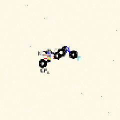 C[C@]12Cc3cnn(-c4ccc(F)cc4)c3C=C1CC[C@@H]2CN(CC#N)S(=O)(=O)Cc1cccc(C(F)(F)F)c1